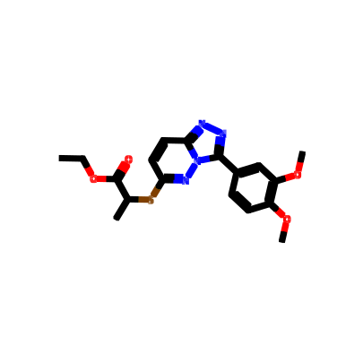 CCOC(=O)C(C)Sc1ccc2nnc(-c3ccc(OC)c(OC)c3)n2n1